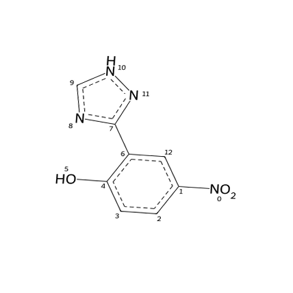 O=[N+]([O-])c1ccc(O)c(-c2nc[nH]n2)c1